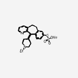 CCN1CCC(=C2c3ccc(OS(=O)(=O)OC)cc3CCc3cccnc32)CC1